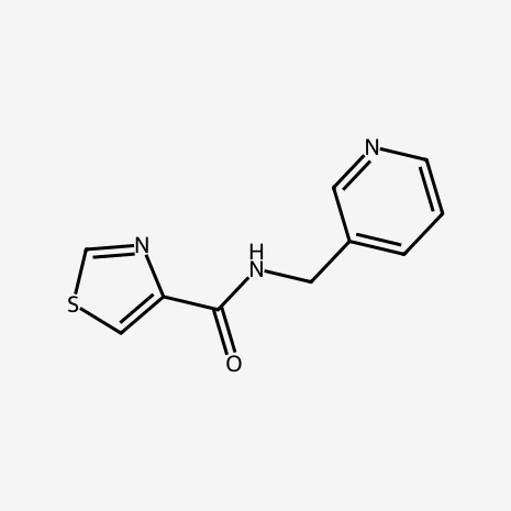 O=C(NCc1cccnc1)c1cscn1